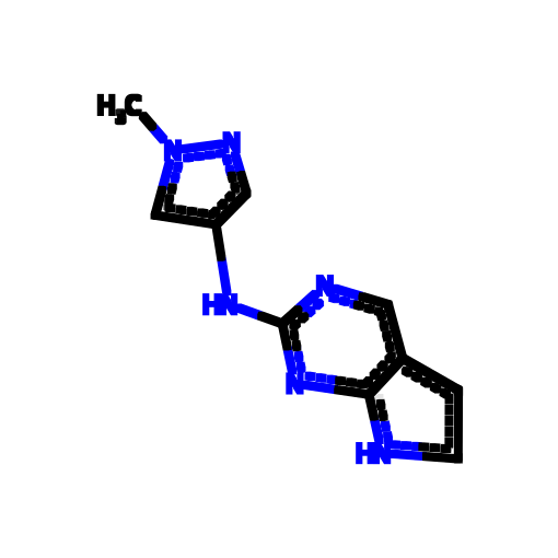 Cn1cc(Nc2ncc3cc[nH]c3n2)cn1